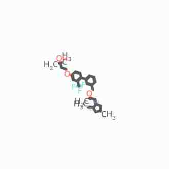 C=C(/C=C1/CC(C)C/C1=C/C)OCc1cccc(-c2ccc(OCCC(C)(C)O)cc2C(F)(F)F)c1